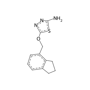 Nc1nnc(OCc2cccc3c2CCC3)s1